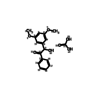 COc1cc(OC)cc(C(O)C(=O)c2ccccc2)c1.O=C(O)O